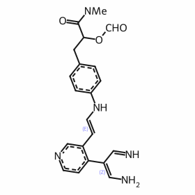 CNC(=O)C(Cc1ccc(N/C=C/c2cnccc2/C(C=N)=C/N)cc1)OC=O